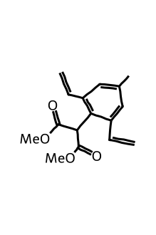 C=Cc1cc(C)cc(C=C)c1C(C(=O)OC)C(=O)OC